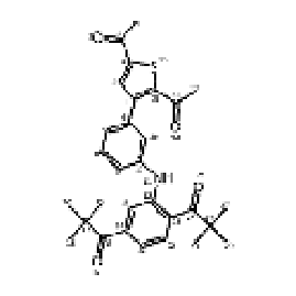 CC(=O)c1cc(-c2cccc(Nc3cc(C(=O)C(C)(C)C)ccc3C(=O)C(C)(C)C)c2)c(C(C)=O)s1